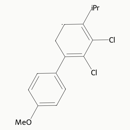 COc1ccc(C2=C(Cl)C(Cl)=C(C(C)C)[CH]C2)cc1